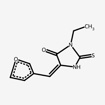 CCN1C(=O)C(=Cc2ccoc2)NC1=S